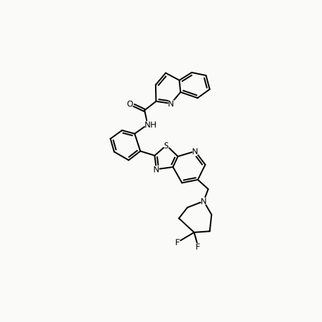 O=C(Nc1ccccc1-c1nc2cc(CN3CCC(F)(F)CC3)cnc2s1)c1ccc2ccccc2n1